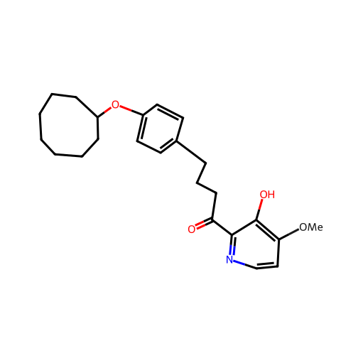 COc1ccnc(C(=O)CCCc2ccc(OC3CCCCCCC3)cc2)c1O